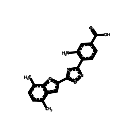 Cc1ccc(C)c2oc(-c3nc(-c4ccc(C(=O)O)cc4N)no3)cc12